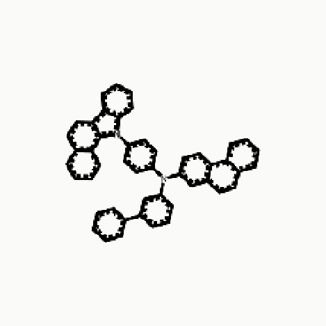 c1ccc(-c2cccc(N(c3ccc(-n4c5ccccc5c5ccc6ccccc6c54)cc3)c3ccc4c(ccc5ccccc54)c3)c2)cc1